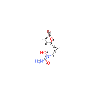 NC(=O)N(O)CC1CC1c1ccc(Br)o1